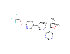 COC(c1cncnc1)(c1ccc(-c2ccc(OCC(F)(F)F)nc2)cn1)C(C)(C)C